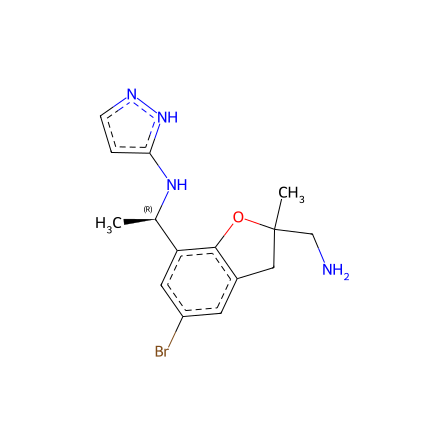 C[C@@H](Nc1ccn[nH]1)c1cc(Br)cc2c1OC(C)(CN)C2